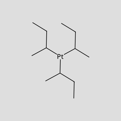 CC[CH](C)[Pt]([CH](C)CC)[CH](C)CC